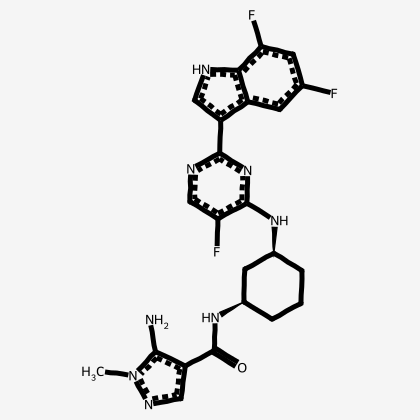 Cn1ncc(C(=O)N[C@@H]2CCC[C@H](Nc3nc(-c4c[nH]c5c(F)cc(F)cc45)ncc3F)C2)c1N